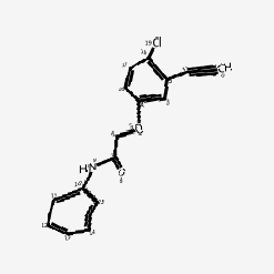 C#Cc1cc(OCC(=O)Nc2ccccc2)ccc1Cl